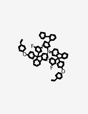 C=Cc1ccc(Oc2ccc(C3(c4cc(F)cc(F)c4)c4ccccc4-c4ccc(N(c5cccc(-c6ccccc6-c6ccccc6)c5)c5ccc6c(c5)C(c5ccc(Oc7ccc(C=C)cc7)cc5)(c5cc(F)cc(F)c5)c5ccccc5-6)cc43)cc2)cc1